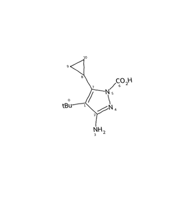 CC(C)(C)c1c(N)nn(C(=O)O)c1C1CC1